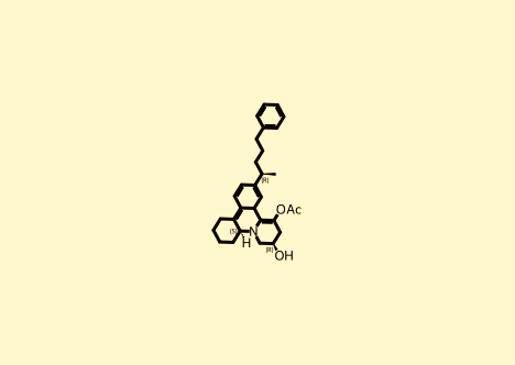 CC(=O)OC1=C2C3C=C([C@H](C)CCCc4ccccc4)C=CC3=C3CCCC[C@@H]3N2C[C@H](O)C1